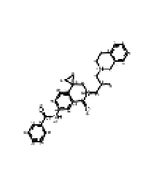 CC(CN1CCc2ccccc2C1)CN1CC2(CC2)c2ccc(NC(=O)c3ccccc3)cc2C1=O